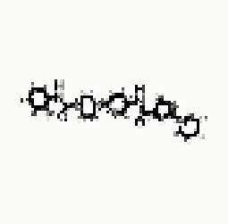 O=C(Nc1ccc(N2CCN(C(=O)Nc3ccccc3F)CC2)nc1)c1cnc(N2CCCCC2)s1